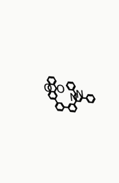 O=c1c2ccccc2oc2ccc(-c3cccc(-c4cccc(-c5cc(-c6ccccc6)nc(-c6ccccc6)n5)c4)c3)cc12